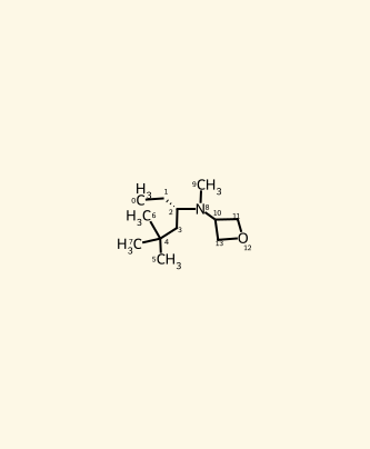 CC[C@@H](CC(C)(C)C)N(C)C1COC1